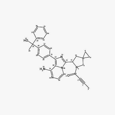 CC#CC(=O)N1CC2(CC2)CC1c1nc(-c2ccc(C(C)(O)c3ccccc3)cc2)c2c(N)nccn12